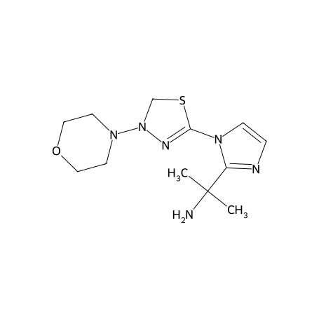 CC(C)(N)c1nccn1C1=NN(N2CCOCC2)CS1